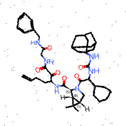 C=CCCC(NC(=O)[C@@H]1[C@@H]2[C@H](CN1C(=O)C(NC(=O)NC13CC4CC(CC(C4)C1)C3)C1CCCCC1)C2(C)C)C(=O)C(=O)NCC(=O)NCc1ccccc1